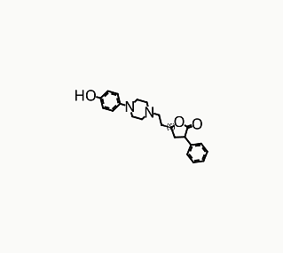 O=C1O[C@H](CCN2CCN(c3ccc(O)cc3)CC2)CC1c1ccccc1